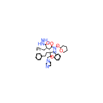 CC(C)C[C@@H](C(=O)NN)[C@H](C(=O)NOC1CCCCO1)C(CCc1ccccc1)(Cc1ccccc1)C(=O)Cn1ccnc1